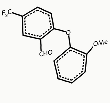 COc1ccccc1Oc1ccc(C(F)(F)F)cc1C=O